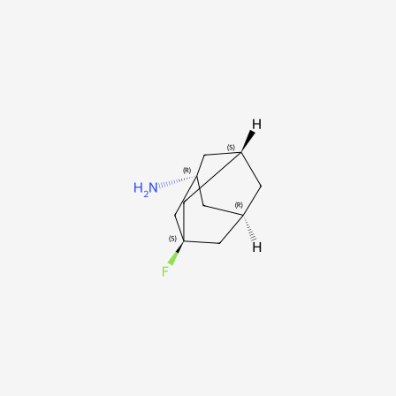 N[C@@]12C[C@H]3C[C@@H](C1)C[C@](F)(C3)C2